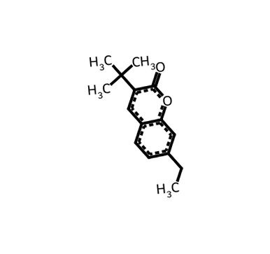 CCc1ccc2cc(C(C)(C)C)c(=O)oc2c1